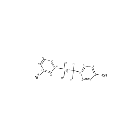 CC(C)(c1ccc(C#N)cc1)C(C)(C)c1cccc(C#N)c1